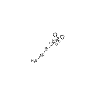 NCCCNCCCCNCCCNC(=O)NC(=O)N(c1ccccc1)c1ccccc1